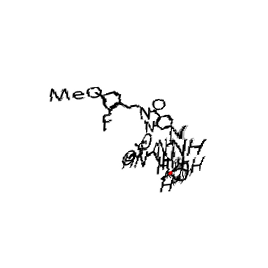 COc1ccc(CCn2cnc3cc(N=C(N[C@H]4C[C@H]5C[C@H]([C@H]4C)C5(C)C)N4CC(NS(C)(=O)=O)C4)ccc3c2=O)c(F)c1